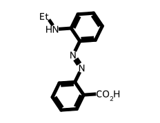 CCNc1ccccc1N=Nc1ccccc1C(=O)O